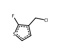 Fc1sccc1CCl